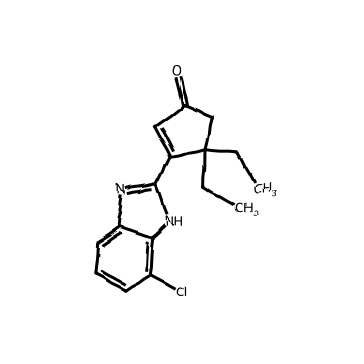 CCC1(CC)CC(=O)C=C1c1nc2cccc(Cl)c2[nH]1